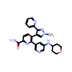 Cn1cc(-c2ccc(C(N)=O)nc2-c2cncc(NC3CCOCC3)c2)c(-c2ccccn2)n1